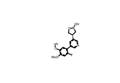 CCCOc1cc(-c2cncc([C@H]3COB(O)C3)c2)c(F)cc1OC